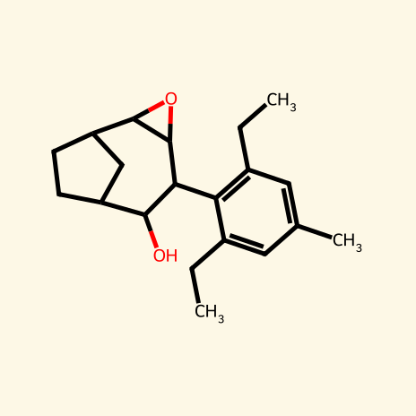 CCc1cc(C)cc(CC)c1C1C(O)C2CCC(C2)C2OC21